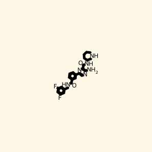 Nc1ncc(-c2cccc(C(=O)NCc3cc(F)cc(F)c3)c2)nc1C(=O)N[C@H]1CCCCNC1